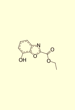 CCOC(=O)c1nc2cccc(O)c2o1